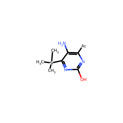 CC(=O)c1nc(O)nc([Si](C)(C)C)c1N